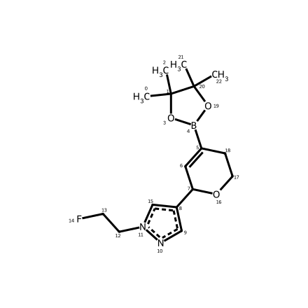 CC1(C)OB(C2=CC(c3cnn(CCF)c3)OCC2)OC1(C)C